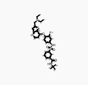 CCN(CC)Cc1cc2nccc(Oc3ccc(NS(=O)(=O)c4cccc(C(=O)NC(C)(C)C)c4)cc3F)c2s1